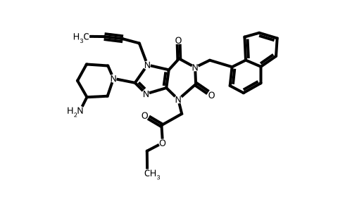 CC#CCn1c(N2CCCC(N)C2)nc2c1c(=O)n(Cc1cccc3ccccc13)c(=O)n2CC(=O)OCC